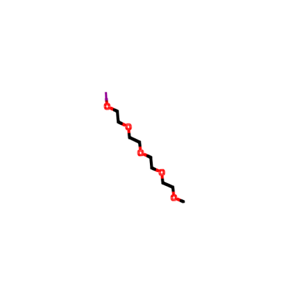 COCCOCCOCCOCCOI